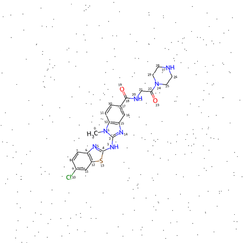 Cn1c(Nc2nc3ccc(Cl)cc3s2)nc2cc(C(=O)NCC(=O)N3CCNCC3)ccc21